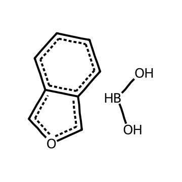 OBO.c1ccc2cocc2c1